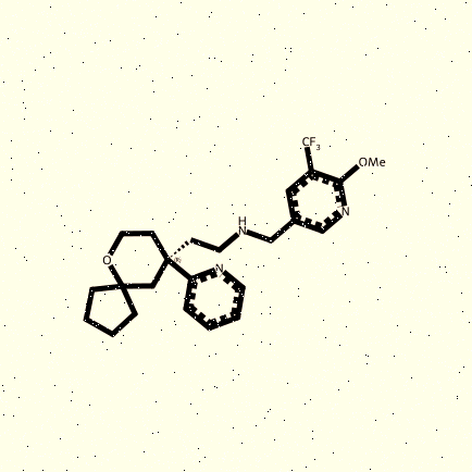 COc1ncc(CNCC[C@@]2(c3ccccn3)CCOC3(CCCC3)C2)cc1C(F)(F)F